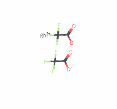 O=C([O-])C(F)(F)F.O=C([O-])C(F)(F)F.[Rh+2]